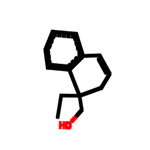 CCC1(CO)CC=Cc2ccccc21